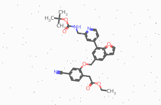 CCOC(=O)Cc1ccc(C#N)cc1OCc1cc(-c2ccnc(CNC(=O)OC(C)(C)C)c2)c2occc2c1